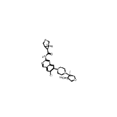 C[C@]1(N2CCN(c3cc4cc(NC(=O)C5C6COC[C@@H]65)ncc4cc3Cl)CC2)COC[C@H]1O